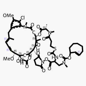 COc1cc2cc(c1Cl)N(C)C(=O)C[C@H](OC(=O)[C@H](C)N(C)C(=O)CCSC(=O)NC(CN(C)C(=O)OC1/C=C/CCCCC1)C(=O)ON1C(=O)CCC1=O)C1(C)O[C@H]1[C@H](C)[C@@H]1C[C@@](O)(NC(=O)O1)[C@H](OC)/C=C/C=C(\C)C2